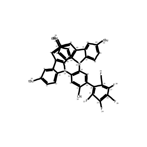 CC(C)(C)c1ccc2c(c1)c1cc(C(C)(C)C)ccc1n2-c1cc(C#N)c(-c2c(F)c(F)c(F)c(F)c2F)cc1-n1c2ccc(C(C)(C)C)cc2c2cc(C(C)(C)C)ccc21